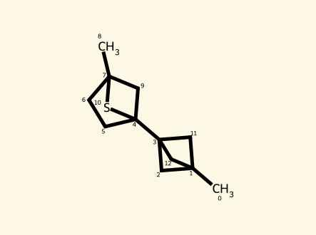 CC12CC(C34CCC(C)(C3)S4)(C1)C2